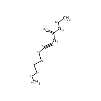 CCCCCCC#COC(=O)OCC